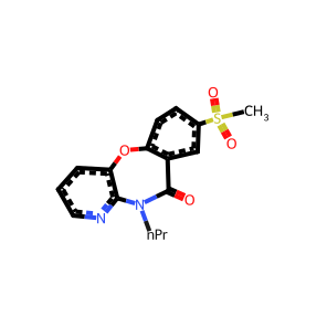 CCCN1C(=O)c2cc(S(C)(=O)=O)ccc2Oc2cccnc21